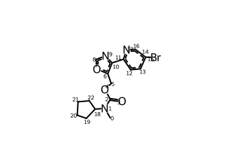 CN(C(=O)OCc1ocnc1-c1ccc(Br)cn1)C1CCCC1